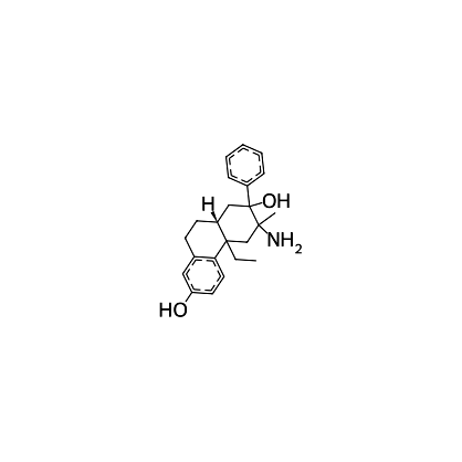 CCC12CC(C)(N)C(O)(c3ccccc3)C[C@H]1CCc1cc(O)ccc12